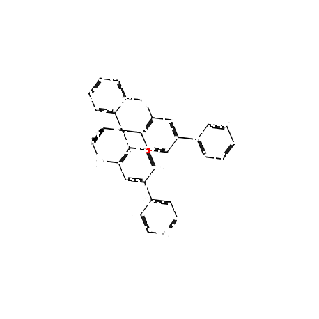 c1ccc(-c2ccc3c(c2)Oc2ccccc2C32c3ccccc3Oc3cc(-c4ccncc4)ccc32)cc1